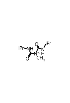 CC(C)NC(=O)[N+](C)C(=O)NC(C)C